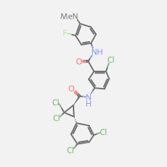 CNc1ccc(NC(=O)c2cc(NC(=O)[C@H]3[C@H](c4cc(Cl)cc(Cl)c4)C3(Cl)Cl)ccc2Cl)cc1F